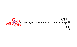 CC(C)CCCCCCCCCCCCCCCCCOP(=O)(O)O